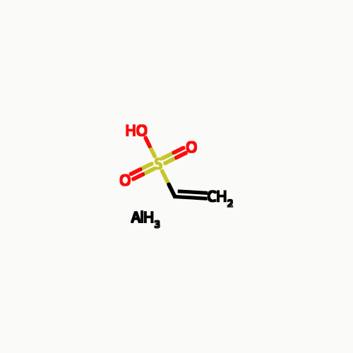 C=CS(=O)(=O)O.[AlH3]